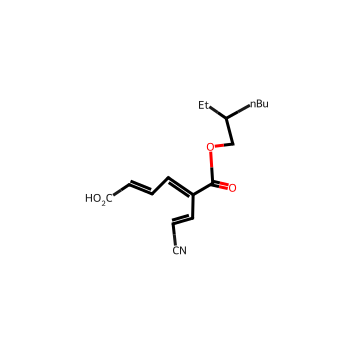 CCCCC(CC)COC(=O)C(C=CC#N)=CC=CC(=O)O